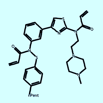 C=CC(=O)N(CCN1CCN(C)CC1)c1nc(-c2cccc(N(Sc3ccc(CCCCC)cc3)C(=O)C=C)c2)cs1